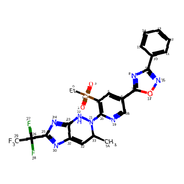 CCS(=O)(=O)c1cc(-c2nc(-c3ccccc3)no2)cnc1N1NC2=NC(C(F)(F)C(F)(F)F)=NC2=CC1C